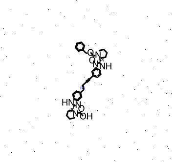 O=C(O)N1CCCC[C@H]1c1nc2cc(/C=C/C#Cc3ccc4[nH]c([C@@H]5CCCCN5C(=O)OCc5ccccc5)nc4c3)ccc2[nH]1